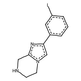 Ic1cccc(-c2cn3c(n2)CNCC3)c1